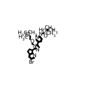 CC(C)(C)OC(=O)Nc1ccc(-c2cnc(C3CCc4cc(Br)cnc43)n2COCC[Si](C)(C)C)cn1